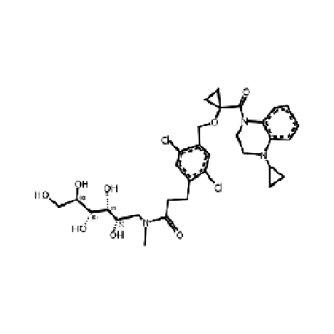 CN(C[C@H](O)[C@@H](O)[C@H](O)[C@H](O)CO)C(=O)CCc1cc(Cl)c(COC2(C(=O)N3CCN(C4CC4)c4ccccc43)CC2)cc1Cl